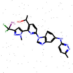 Cc1ccc(Nc2ccc3c(c2)ncn3-c2ccc(C(C)O)c(-c3cc(C(F)(F)P)nn3C)n2)nn1